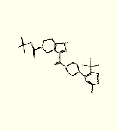 CC(C)(C)OC(=O)N1CCc2[nH]nc(C(=O)N3CCC(c4cc(F)ccc4C(F)(F)F)CC3)c2C1